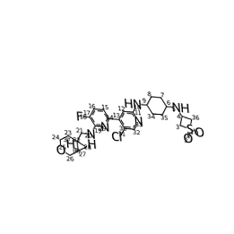 O=S1(=O)CC(NC2CCC(Nc3cc(-c4ccc(F)c(NCC56CCOC[C@@H]5C6)n4)c(Cl)cn3)CC2)C1